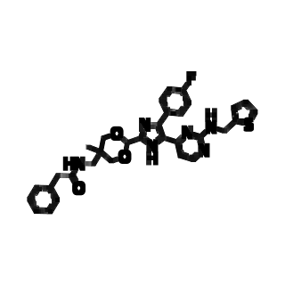 CC1(CNC(=O)Cc2ccccc2)COC(c2nc(-c3ccc(F)cc3)c(-c3ccnc(NCc4cccs4)n3)[nH]2)OC1